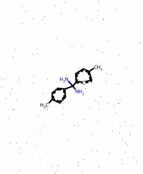 Cc1ccc(C(N)(N)c2ccc(C)cc2)cc1